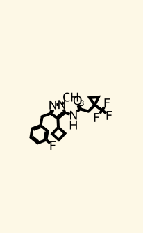 Cn1nc(Cc2cccc(F)c2)c(C2CCC2)c1NC(=O)CC1(C(F)(F)F)CC1